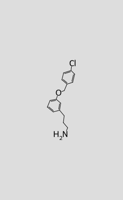 NCCCc1cccc(OCc2ccc(Cl)cc2)c1